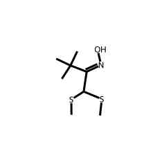 CSC(SC)/C(=N/O)C(C)(C)C